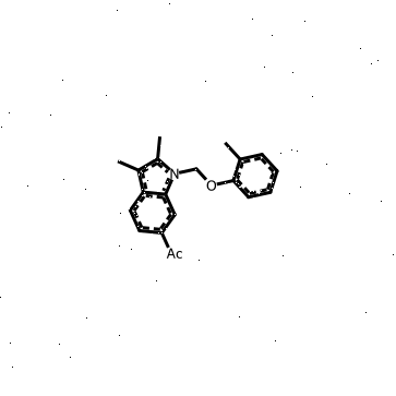 CC(=O)c1ccc2c(C)c(C)n(COc3ccccc3C)c2c1